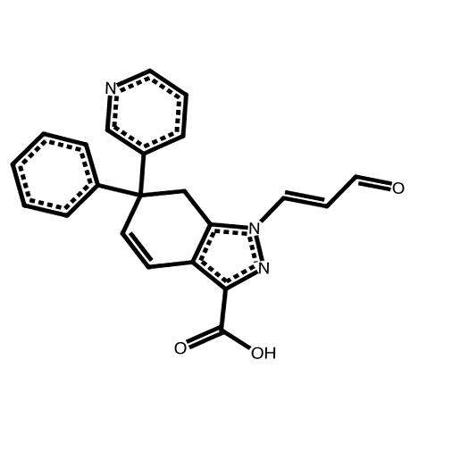 O=CC=Cn1nc(C(=O)O)c2c1CC(c1ccccc1)(c1cccnc1)C=C2